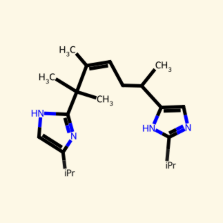 C/C(=C/CC(C)c1cnc(C(C)C)[nH]1)C(C)(C)c1nc(C(C)C)c[nH]1